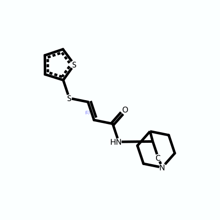 O=C(/C=C/Sc1cccs1)NC1CN2CCC1CC2